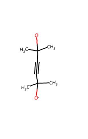 CC(C)([O])C#CC(C)(C)[O]